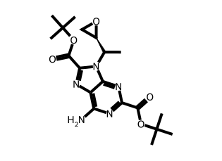 CC([C@H]1CO1)n1c(C(=O)OC(C)(C)C)nc2c(N)nc(C(=O)OC(C)(C)C)nc21